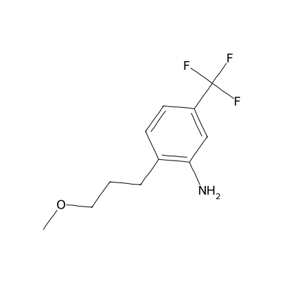 COCCCc1ccc(C(F)(F)F)cc1N